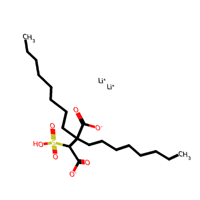 CCCCCCCCC(CCCCCCCC)(C(=O)[O-])C(C(=O)[O-])S(=O)(=O)O.[Li+].[Li+]